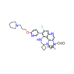 CN(C=O)c1cnc2cc(F)c(-c3ccc(OCCCN4CCCCC4)nc3)c3c2c1N(C)C1(CCC1)CN3